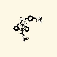 CC(=O)SC[C@@H](C)C(=O)N1CCC[C@H]1C(=O)N[C@H](Cc1ccccc1)C(=O)OCc1ccc(CO[N+](=O)[O-])cc1